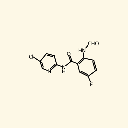 O=CNc1ccc(F)cc1C(=O)Nc1ccc(Cl)cn1